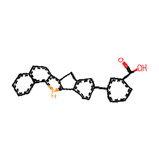 O=C(O)c1cccc(-c2ccc3c(c2)Cc2c-3[pH]c3c2ccc2ccccc23)c1